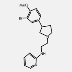 COc1ccc(C2CCN(CCNc3ccccn3)C2)cc1Br